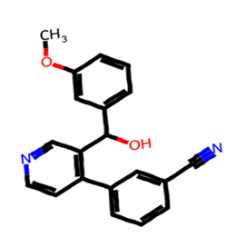 COc1cccc(C(O)c2cnccc2-c2cccc(C#N)c2)c1